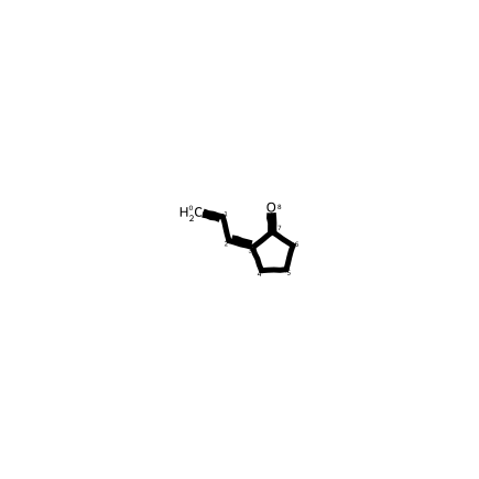 C=CC=C1CCCC1=O